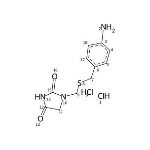 Cl.Cl.Nc1ccc(CSCN2CC(=O)NC2=O)cc1